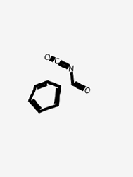 O=C=NC=O.c1ccccc1